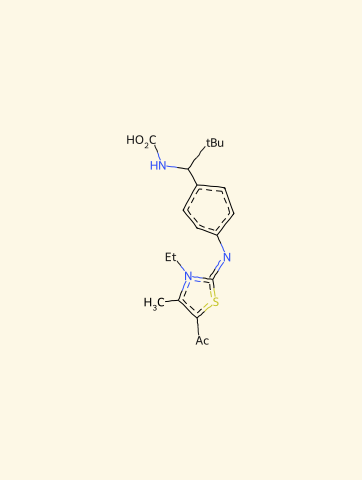 CCn1c(C)c(C(C)=O)sc1=Nc1ccc(C(NC(=O)O)C(C)(C)C)cc1